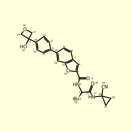 CC[C@H](C)C(NC(=O)c1cc2ccc(-c3ccc(C4(O)COC4)cc3)cc2o1)C(=O)NC1(C#N)CC1